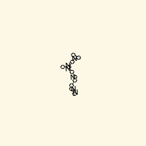 c1ccc(-c2nc(-c3ccc(-c4ccc5ccc(-c6ccc7ccc(-c8ccccn8)nc7c6)cc5n4)cc3)cc(-c3ccc(-n4c5ccccc5c5ccccc54)cc3)n2)cc1